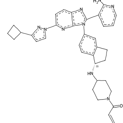 C=CC(=O)N1CCC(N[C@H]2CCc3cc(-n4c(-c5cccnc5N)nc5ccc(-n6ccc(C7CCC7)n6)nc54)ccc32)CC1